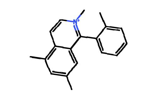 Cc1cc(C)c2cc[n+](C)c(-c3ccccc3C)c2c1